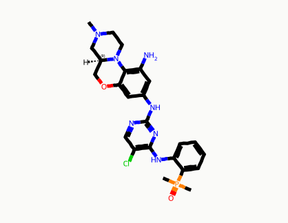 CN1CCN2c3c(N)cc(Nc4ncc(Cl)c(Nc5ccccc5P(C)(C)=O)n4)cc3OC[C@H]2C1